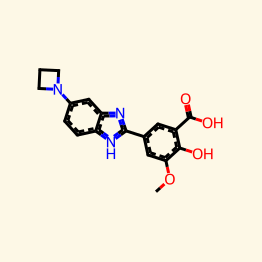 COc1cc(-c2nc3cc(N4CCC4)ccc3[nH]2)cc(C(=O)O)c1O